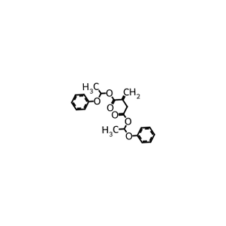 C=C(CC(=O)OC(C)Oc1ccccc1)C(=O)OC(C)Oc1ccccc1